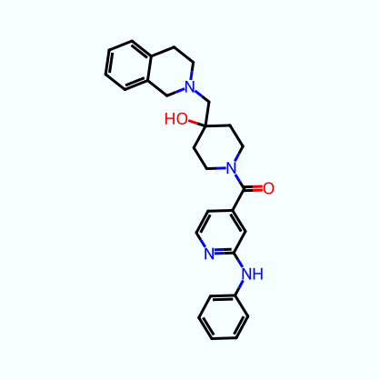 O=C(c1ccnc(Nc2ccccc2)c1)N1CCC(O)(CN2CCc3ccccc3C2)CC1